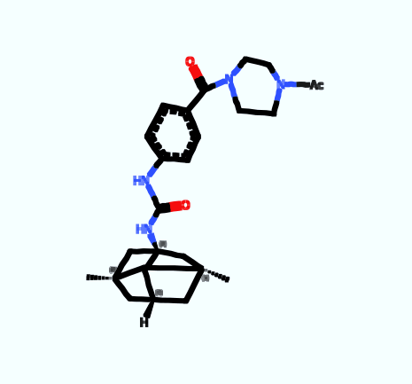 CC(=O)N1CCN(C(=O)c2ccc(NC(=O)N[C@@]34C[C@@H]5C[C@@](C)(C[C@@](C)(C5)C3)C4)cc2)CC1